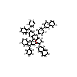 c1ccc(-n2c3ccccc3c3cc(-c4cccc5c4c4ccccc4n5-c4ccccc4)c(N(c4ccc(-c5ccc6ccccc6c5)cc4)c4ccc(-c5ccc6ccccc6c5)cc4)cc32)cc1